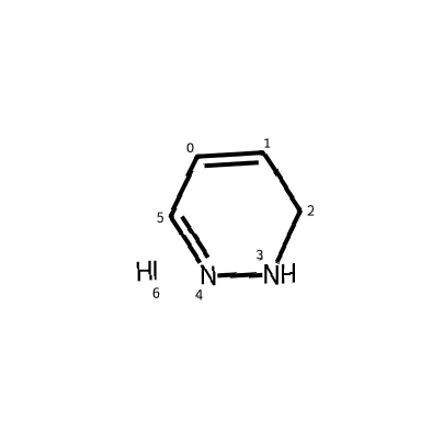 C1=CCNN=C1.I